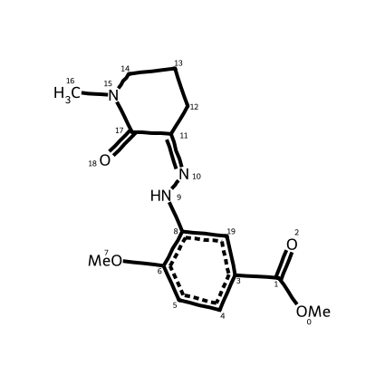 COC(=O)c1ccc(OC)c(NN=C2CCCN(C)C2=O)c1